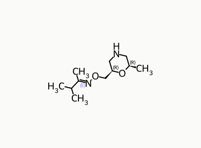 C/C(=N\OC[C@H]1CNC[C@@H](C)O1)C(C)C